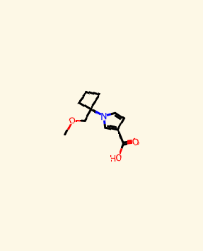 COCC1(n2ccc(C(=O)O)c2)CCC1